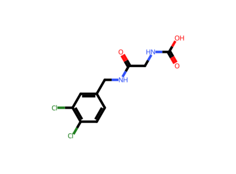 O=C(O)NCC(=O)NCc1ccc(Cl)c(Cl)c1